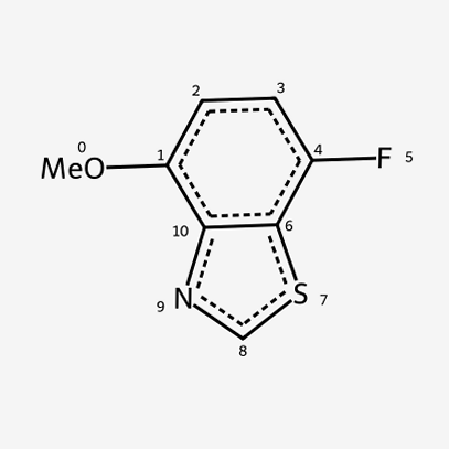 COc1ccc(F)c2scnc12